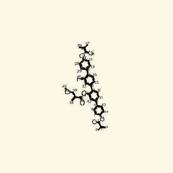 C=C(C)C(=O)Oc1ccc(-c2ccc(-c3ccc(-c4ccc(OC(=O)C(=C)C)cc4)c(F)c3)c(OC(=O)C(=C)COC)c2)cc1